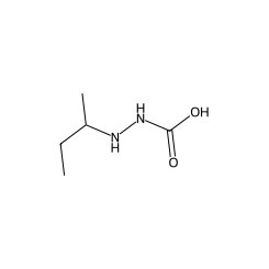 CCC(C)NNC(=O)O